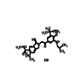 Br.CNC(=O)c1cc2c(cc1N(C)C)CN(CC(=O)c1cc(NCC(C)C)c(OC)c(C(C)(C)C)c1)C2=N